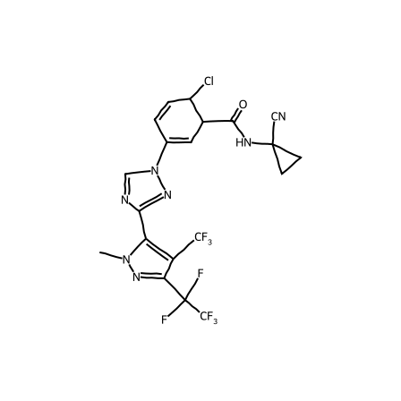 Cn1nc(C(F)(F)C(F)(F)F)c(C(F)(F)F)c1-c1ncn(C2=CC(C(=O)NC3(C#N)CC3)C(Cl)C=C2)n1